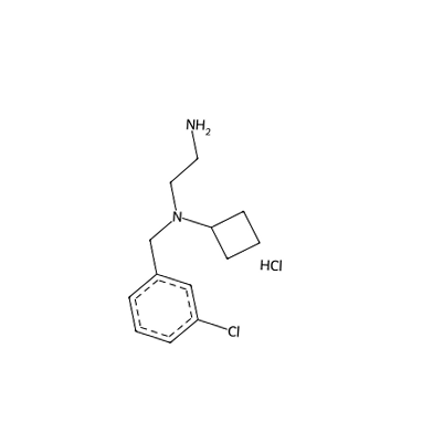 Cl.NCCN(Cc1cccc(Cl)c1)C1CCC1